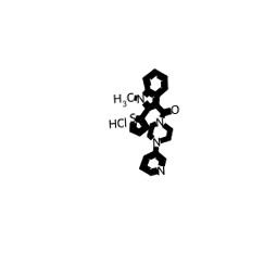 Cl.Cn1c(-c2cccs2)c(C(=O)N2CCN(c3cccnc3)CC2)c2ccccc21